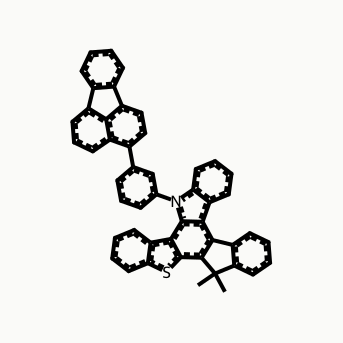 CC1(C)c2ccccc2-c2c1c1sc3ccccc3c1c1c2c2ccccc2n1-c1cccc(-c2ccc3c4c(cccc24)-c2ccccc2-3)c1